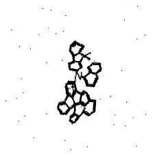 CCc1ccc2cccc3c2c1C1(c2ccccc2-c2ccc(N(c4ccc5c(c4)C(C)(C)c4ccccc4-5)c4cccc5ccccc45)cc21)c1ccccc1-3